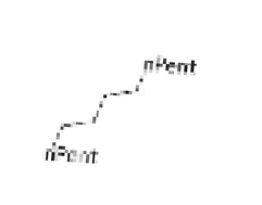 [CH2]CCCC[CH]CCCCCCC[CH2]